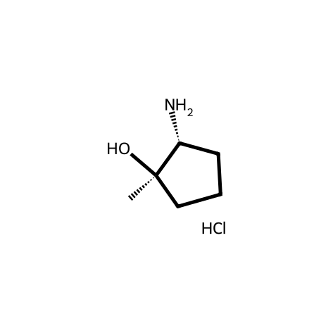 C[C@@]1(O)CCC[C@H]1N.Cl